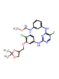 COBNc1cccc(Nc2nc(Nc3ccc(Cl)c(OCC4COC(C)(C)O4)c3)ncc2F)c1